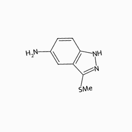 CSc1n[nH]c2ccc(N)cc12